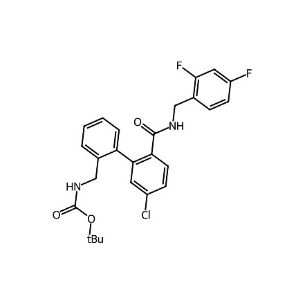 CC(C)(C)OC(=O)NCc1ccccc1-c1cc(Cl)ccc1C(=O)NCc1ccc(F)cc1F